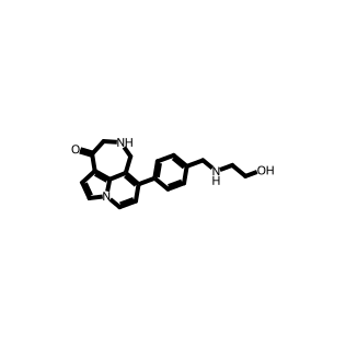 O=C1CNCc2c(-c3ccc(CNCCO)cc3)ccn3ccc1c23